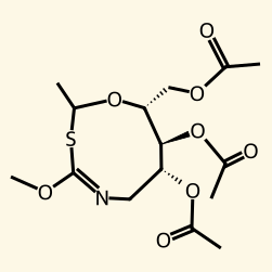 CO/C1=N/C[C@@H](OC(C)=O)[C@H](OC(C)=O)[C@@H](COC(C)=O)OC(C)S1